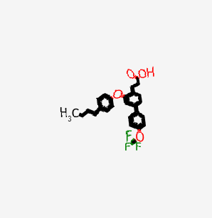 CCCCc1ccc(Oc2cc(-c3ccc(OC(F)(F)F)cc3)ccc2CCC(=O)O)cc1